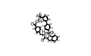 O=C(O)c1ccc(CNC(=O)[C@@H]2Cc3ccccc3N2S(=O)(=O)c2ccc(-c3cccc(C(F)(F)F)c3)cc2)cc1